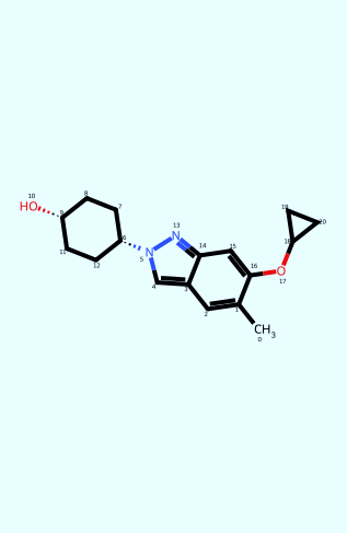 Cc1cc2cn([C@H]3CC[C@@H](O)CC3)nc2cc1OC1CC1